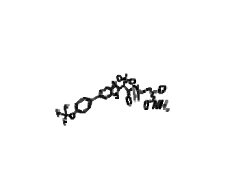 CS(=O)(=O)C(C(=O)NCCS(N)(=O)=O)c1nc2ccc(-c3ccc(OC(F)(F)F)cc3)cc2s1